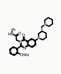 COc1ccccc1-c1nc2ccc(N3CCC[C@H](CN4CCCCC4)C3)cc2c(=O)n1CC(=O)NC(C)C